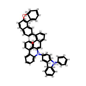 c1ccc(-c2ccccc2N(c2ccc3c(-c4ccc5ccc6oc7ccccc7c6c5c4)cccc3c2)c2ccc3c(c2)c2ccccc2n3-c2ccccc2)cc1